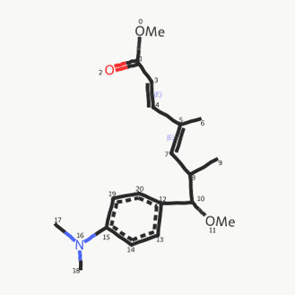 COC(=O)/C=C/C(C)=C/C(C)C(OC)c1ccc(N(C)C)cc1